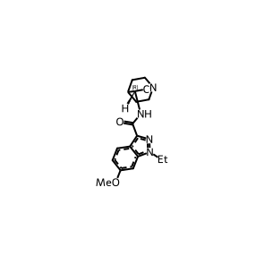 CCn1nc(C(=O)N[C@H]2CN3CCC2CC3)c2ccc(OC)cc21